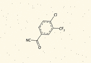 N#CC(=O)c1ccc(Cl)c(C(F)(F)F)c1